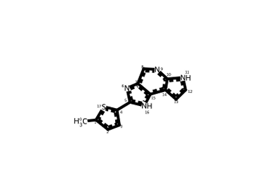 Cc1ccc(-c2nc3cnc4[nH]ccc4c3[nH]2)s1